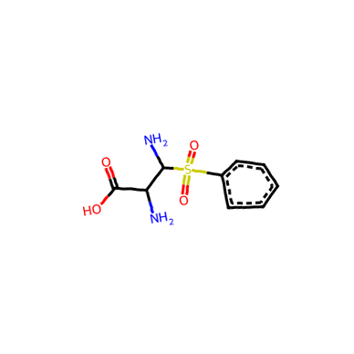 NC(C(=O)O)C(N)S(=O)(=O)c1ccccc1